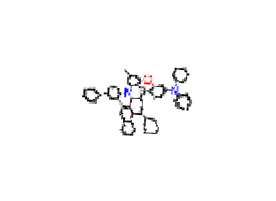 Cc1cc2c3c(c1)N(c1ccc(-c4ccccc4)cc1-c1ccc4ccccc4c1)c1ccc(-c4ccccc4)cc1B3c1ccc(N(c3ccccc3)c3ccccc3)cc1O2